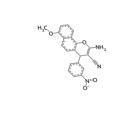 COc1cccc2c3c(ccc12)C(c1cccc([N+](=O)[O-])c1)C(C#N)=C(N)O3